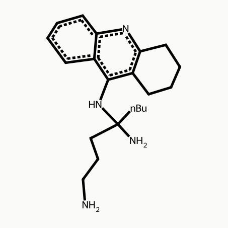 CCCCC(N)(CCCN)Nc1c2c(nc3ccccc13)CCCC2